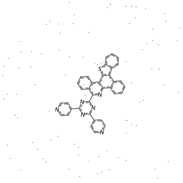 c1ccc2c(c1)sc1c2c2ccccc2c2nc(-c3nc(-c4ccncc4)nc(-c4ccncc4)n3)c3ccccc3c21